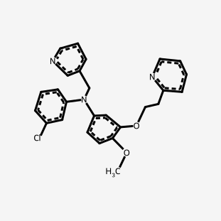 COc1ccc(N(Cc2cccnc2)c2cccc(Cl)c2)cc1OCCc1ccccn1